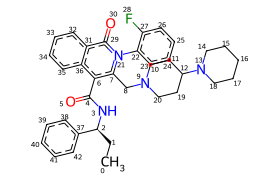 CC[C@H](NC(=O)c1c(CN2CCC(N3CCCCC3)CC2)n(-c2ccccc2F)c(=O)c2ccccc12)c1ccccc1